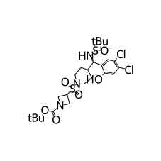 CC(C)(C)OC(=O)N1CC(S(=O)(=O)N2CCC([C@@H](N[S@@+]([O-])C(C)(C)C)c3cc(Cl)c(Cl)cc3O)CC2)C1